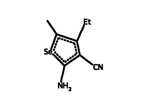 CCc1c(C)[se]c(N)c1C#N